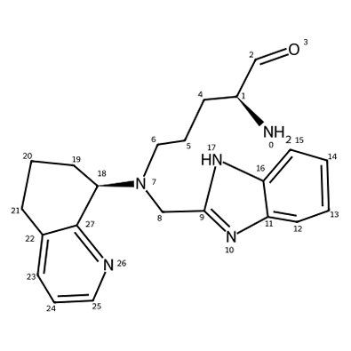 N[C@H](C=O)CCCN(Cc1nc2ccccc2[nH]1)[C@@H]1CCCc2cccnc21